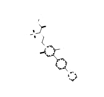 CS(=O)(=O)[C@H](CCn1cc(F)c(-c2ccc(-n3nccn3)cc2)cc1=O)C(=O)NO